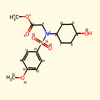 COC(=O)CN(C1CCC(O)CC1)S(=O)(=O)c1ccc(OC)cc1